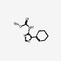 CC(C)(C)OC(=O)Nc1ncsc1C1=CCCCC1